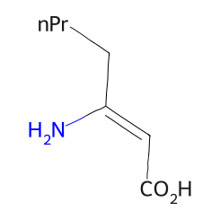 CCCCC(N)=CC(=O)O